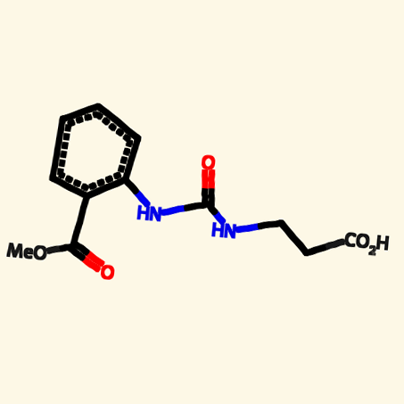 COC(=O)c1ccccc1NC(=O)NCCC(=O)O